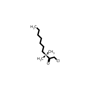 CCCCCCC[N+](C)(C)C(=O)CCl